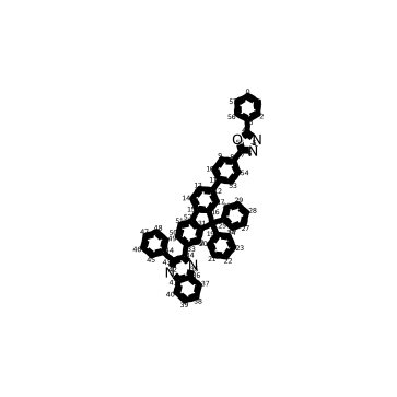 c1ccc(-c2nnc(-c3ccc(-c4ccc5c(c4)C(c4ccccc4)(c4ccccc4)c4cc(-c6nc7ccccc7nc6-c6ccccc6)ccc4-5)cc3)o2)cc1